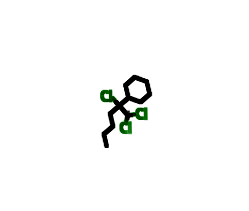 CCCCC(Cl)([C](Cl)Cl)C1CCCCC1